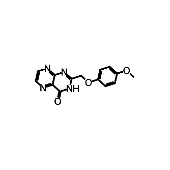 COc1ccc(OCc2nc3nccnc3c(=O)[nH]2)cc1